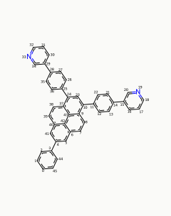 c1ccc(-c2cc3ccc4c(-c5ccc(-c6cccnc6)cc5)cc(-c5ccc(-c6cccnc6)cc5)c5ccc(c2)c3c45)cc1